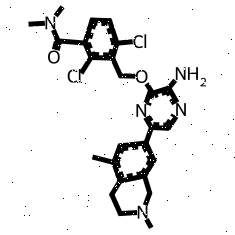 Cc1cc(-c2cnc(N)c(OCc3c(Cl)ccc(C(=O)N(C)C)c3Cl)n2)cc2c1CCN(C)C2